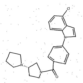 O=C(c1ccc(-n2ccc3c(Cl)cccc32)cc1)N1CC[C@H](N2CCCC2)C1